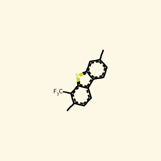 Cc1ccc2c(c1)sc1c(C(F)(F)F)c(C)ccc12